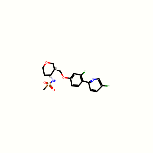 CS(=O)(=O)N[C@@H]1CCOC[C@H]1COc1ccc(-c2ccc(Cl)cn2)c(F)c1